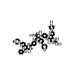 CNC(=O)c1c(NCCO)c2ccc(N3C[C@@H](C)N[C@@H](C)C3)nc2n2c1nc1cc(Nc3c(C(=O)NC)c4nc5cc(CN(C)c6c(C(=O)NC)c7nc8ccccc8n7c7nc(N8CCCN(C)CC8)ccc67)ccc5n4c4nc(N5CCCN(C)CC5)ccc34)ccc12